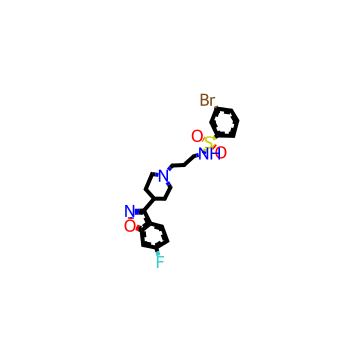 O=S(=O)(NCCCN1CCC(c2noc3cc(F)ccc23)CC1)c1cccc(Br)c1